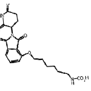 O=C(O)NCCCCCCOc1cccc2c1C(=O)N(C1CCC(=O)NC1=O)C2=O